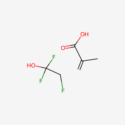 C=C(C)C(=O)O.OC(F)(F)CF